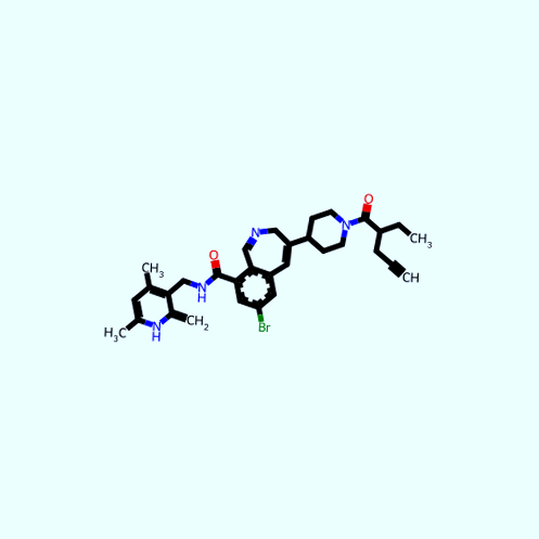 C#CCC(CC)C(=O)N1CCC(C2=Cc3cc(Br)cc(C(=O)NCC4=C(C)C=C(C)NC4=C)c3C=NC2)CC1